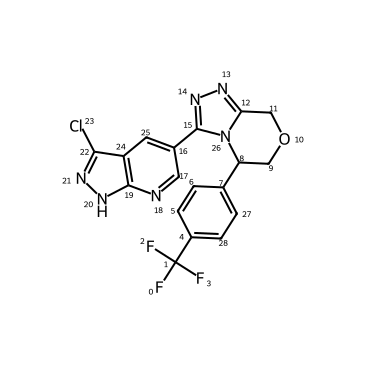 FC(F)(F)c1ccc(C2COCc3nnc(-c4cnc5[nH]nc(Cl)c5c4)n32)cc1